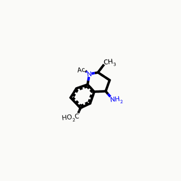 CC(=O)N1c2ccc(C(=O)O)cc2C(N)CC1C